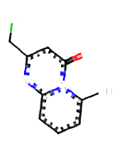 Cc1cccc2nc(CCl)cc(=O)n12